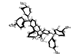 CC(C)(C)c1ccc(B(c2ccc(C(C)(C)C)cc2)c2ccc3c(c2)C(C)(C)c2cccc4c2c-3cc2ccc(B(c3ccc(C(C)(C)C)cc3)c3ccc(C(C)(C)C)cc3)cc24)cc1